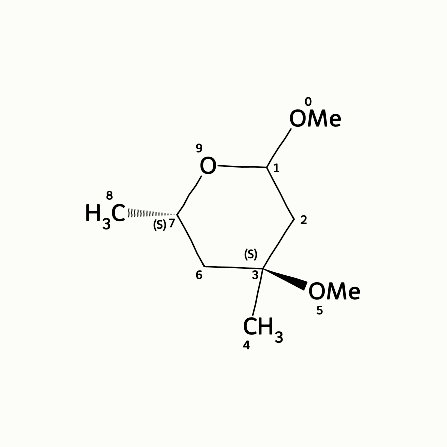 COC1C[C@@](C)(OC)C[C@H](C)O1